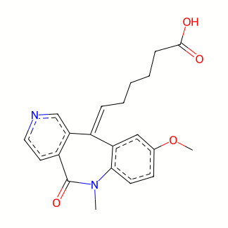 COc1ccc2c(c1)C(=CCCCCC(=O)O)c1cnccc1C(=O)N2C